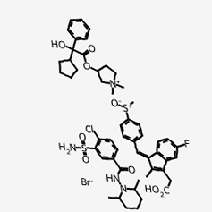 CC1=C(CC(=O)O)c2cc(F)ccc2/C1=C\c1ccc([S+](C)[O-])cc1.CC1CCCC(C)N1NC(=O)c1ccc(Cl)c(S(N)(=O)=O)c1.C[N+]1(C)CCC(OC(=O)C(O)(c2ccccc2)C2CCCC2)C1.[Br-]